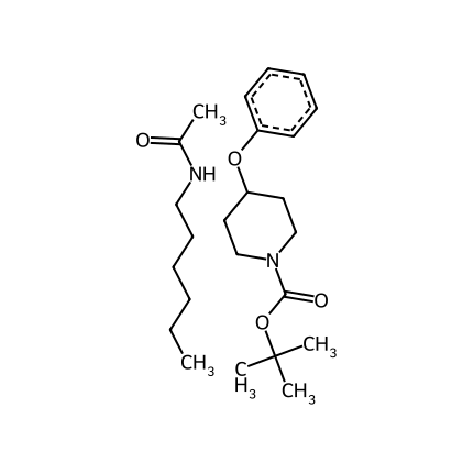 CC(C)(C)OC(=O)N1CCC(Oc2ccccc2)CC1.CCCCCCNC(C)=O